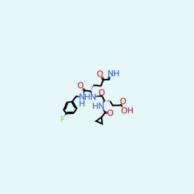 N=CC(=O)CC[C@H](NC(=O)[C@H](CCC(=O)O)NC(=O)C1CC1)C(=O)NCc1ccc(F)cc1